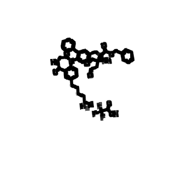 NCCCCCc1ccc2c(c1)C(=O)NCC(=O)N2c1ccc(C[C@@]2(C(=O)OCc3ccccc3)NC2(C=O)CC=O)cc1-c1ccccc1.O=C(O)C(F)(F)F